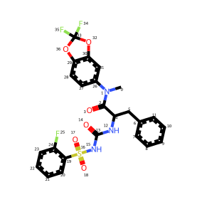 CN(C(=O)C(Cc1ccccc1)NC(=O)NS(=O)(=O)c1ccccc1F)c1ccc2c(c1)OC(F)(F)O2